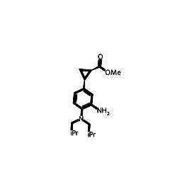 COC(=O)[C@@H]1C[C@@H]1c1ccc(N(CC(C)C)CC(C)C)c(N)c1